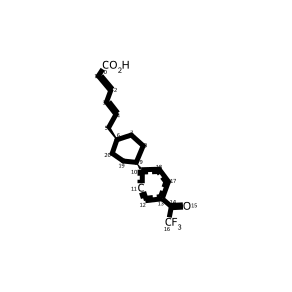 O=C(O)/C=C/C=C/C[C@H]1CC[C@H](c2ccc(C(=O)C(F)(F)F)cc2)CC1